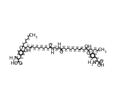 CCCCCCC(Oc1ccc(CC(N)C(=O)O)cc1)C(O)CC=CCCCCCCCC(=O)NCCNC(=O)CCCCCCCC=CCC(O)C(CCCCC)Oc1ccc(CC(N)C(=O)O)cc1